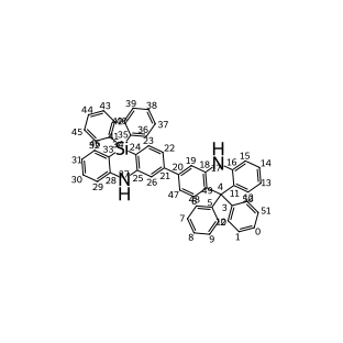 c1ccc(C2(c3ccccc3)c3ccccc3Nc3cc(-c4ccc5c(c4)Nc4ccccc4[Si]5(c4ccccc4)c4ccccc4)ccc32)cc1